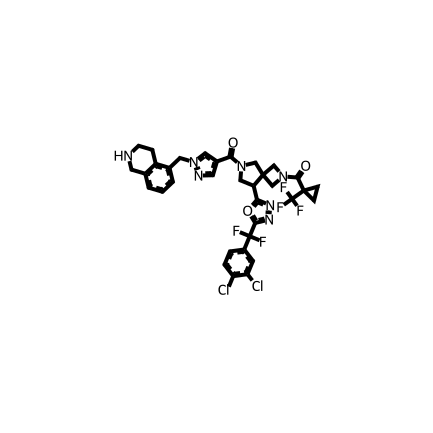 O=C(c1cnn(Cc2cccc3c2CCNC3)c1)N1CC(c2nnc(C(F)(F)c3ccc(Cl)c(Cl)c3)o2)C2(C1)CN(C(=O)C1(C(F)(F)F)CC1)C2